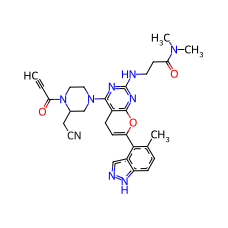 C#CC(=O)N1CCN(c2nc(NCCC(=O)N(C)C)nc3c2CC=C(c2c(C)ccc4[nH]ncc24)O3)CC1CC#N